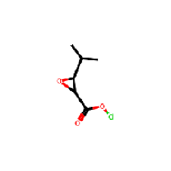 CC(C)C1OC1C(=O)OCl